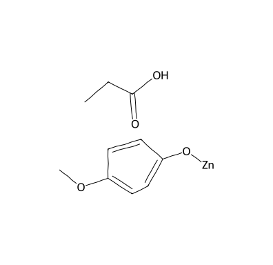 CCC(=O)O.COc1ccc([O][Zn])cc1